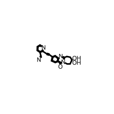 N#Cc1cccnc1C#Cc1ccc2c(=O)n3c(nc2c1)CCC(O)(O)CC3